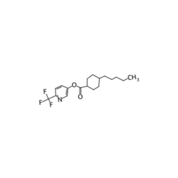 CCCCCC1CCC(C(=O)Oc2ccc(C(F)(F)F)nc2)CC1